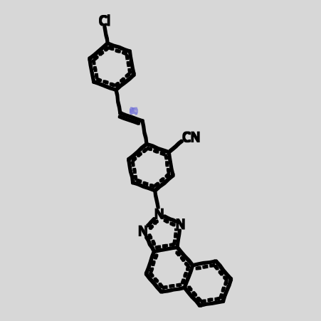 N#Cc1cc(-n2nc3ccc4ccccc4c3n2)ccc1/C=C/c1ccc(Cl)cc1